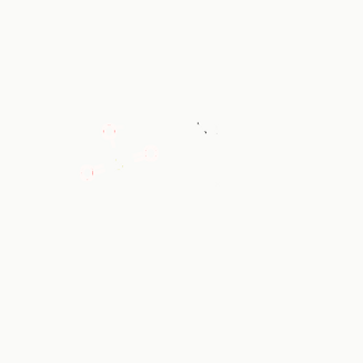 O=S(=O)([O-])Cc1ccc2ccccc2c1.[Na+]